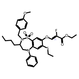 CCCCC1CN(c2ccccc2)c2cc(SCC)c(O/C=C(\F)C(=O)OCC)cc2S(=O)(=O)N1Cc1ccc(OC)cc1